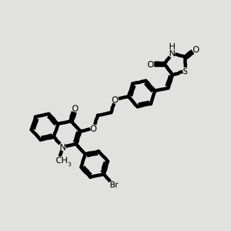 Cn1c(-c2ccc(Br)cc2)c(OCCOc2ccc(/C=C3/SC(=O)NC3=O)cc2)c(=O)c2ccccc21